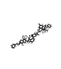 Cc1cc(OCc2ccccc2)c2c(C(O)O)cc(-c3oc4ccc(-c5cccc6oc(-c7cc(C(=O)O)c8ccc(OCc9ccccc9)c(C)c8n7)c(C)c56)cc4c3C)nc2c1